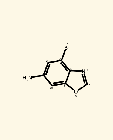 Nc1cc(Br)c2ncoc2c1